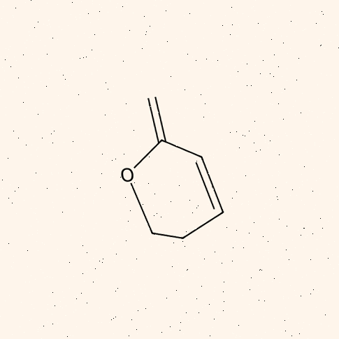 C=C1C=CCCO1